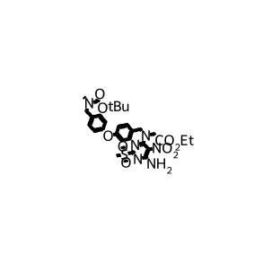 CCOC(=O)CN(Cc1ccc(Oc2ccc(CN(C)C(=O)OC(C)(C)C)cc2)cc1)c1nc(S(C)(=O)=O)nc(N)c1[N+](=O)[O-]